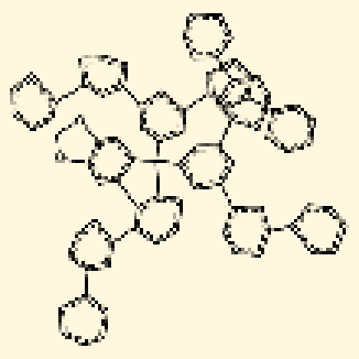 c1ccc(-c2cccc(-c3cc(-c4cccc(-c5ccccc5)c4)cc(C4(c5cc(-c6cccc(-c7ccccc7)c6)cc(-c6cccc(-c7ccccc7)c6)c5)c5cc6c(cc5-c5c(-c7cccc(-c8ccccc8)c7)cccc54)OCO6)c3)c2)cc1